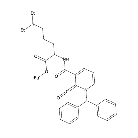 CCN(CC)CCCC(NC(=O)C1=CC=CN(C(c2ccccc2)c2ccccc2)C1=C=O)C(=O)OC(C)(C)C